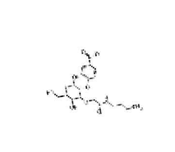 CCCCNC(=O)CO[C@H]1[C@@H](O)[C@@H](CO)O[C@@H](O)[C@@H]1Oc1ccc([N+](=O)[O-])cc1